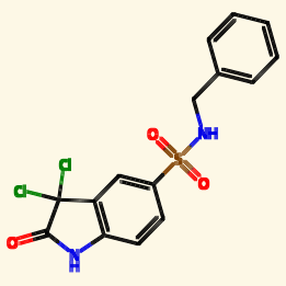 O=C1Nc2ccc(S(=O)(=O)NCc3ccccc3)cc2C1(Cl)Cl